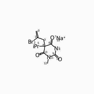 C=C(Br)CC1(C(C)C)C(=O)[N-]C(=O)N(C)C1=O.[Na+]